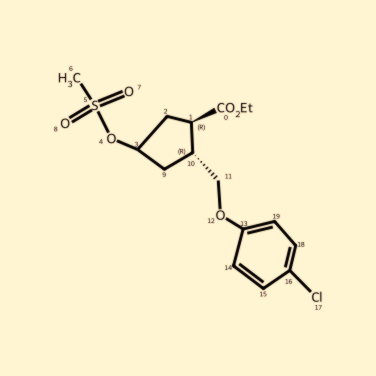 CCOC(=O)[C@@H]1CC(OS(C)(=O)=O)C[C@H]1COc1ccc(Cl)cc1